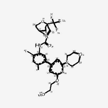 Cc1cc(F)c(NC(=O)N2CC3(C(F)(F)F)CC2CO3)cc1-c1cc(OCCO)nc(N2CCOCC2)c1